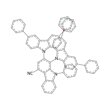 N#Cc1cc(-n2c3ccc(-c4ccccc4)cc3c3cc(-c4ccccc4)ccc32)c(-n2c3ccc(-c4ccccc4)cc3c3cc(-c4ccccc4)ccc32)c2c1c1ccccc1n2-c1ccccc1